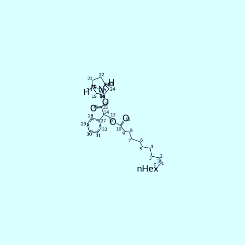 CCCCCC/C=C\CCCCCCCC(=O)OCC(C(=O)O[C@H]1C[C@H]2CC[C@@H](C1)N2C)c1ccccc1